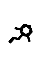 C=CCc1c(C)cccc1C